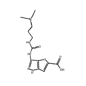 CN(C)CCCNC(=O)Nc1n[nH]c2cc(C(=O)O)sc12